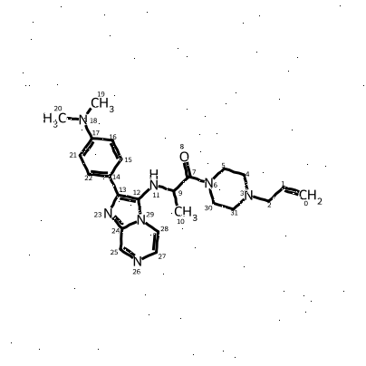 C=CCN1CCN(C(=O)C(C)Nc2c(-c3ccc(N(C)C)cc3)nc3cnccn23)CC1